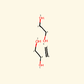 C=C.OCCO.OCCO